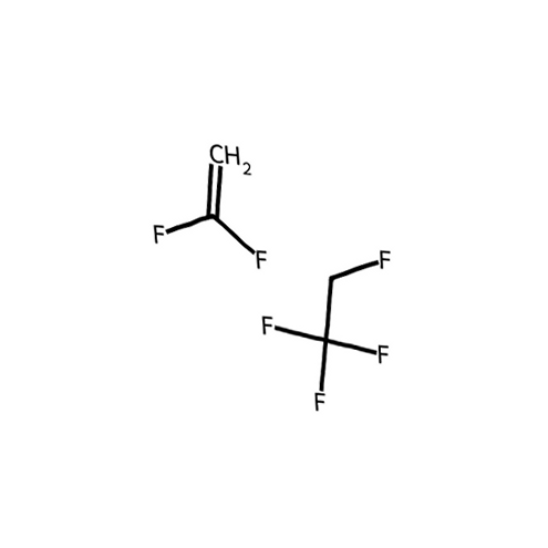 C=C(F)F.FCC(F)(F)F